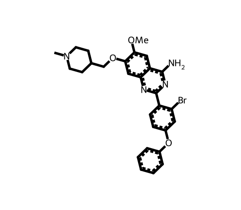 COc1cc2c(N)nc(-c3ccc(Oc4ccccc4)cc3Br)nc2cc1OCC1CCN(C)CC1